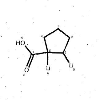 [Li][CH]1CCC[C]1([Li])C(=O)O